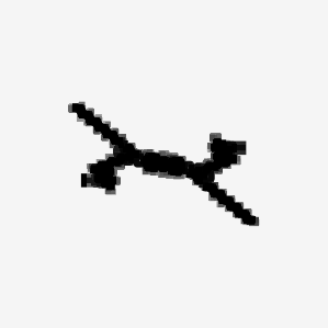 CCCCCCCCCCCCSCC(COc1ccc(C(C)(C)c2ccc(OCC(CSCCCCCCCCCCCC)OC(=O)CCc3cc(C)c(O)c(C(C)(C)C)c3)cc2)cc1)OC(=O)CCc1cc(C)c(O)c(C(C)(C)C)c1